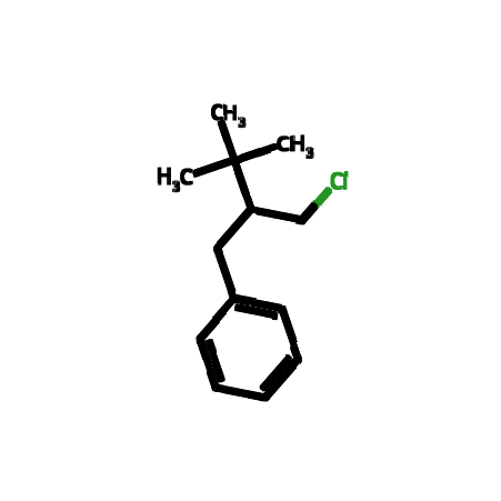 CC(C)(C)C(CCl)Cc1ccccc1